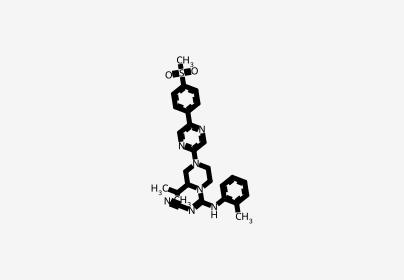 Cc1ccccc1N/C(=N/C#N)N1CCN(c2cnc(-c3ccc(S(C)(=O)=O)cc3)cn2)CC1C(C)C